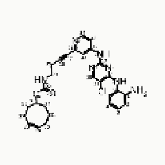 Nc1ccccc1Nc1nc(Nc2ccnc(C#CCCNC(=O)OC3CCC=CCCC3)c2)ncc1Cl